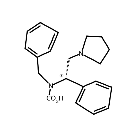 O=C(O)N(Cc1ccccc1)[C@H](CN1CCCC1)c1ccccc1